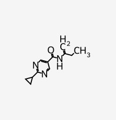 C=C(CC)NC(=O)c1cnc(C2CC2)nc1